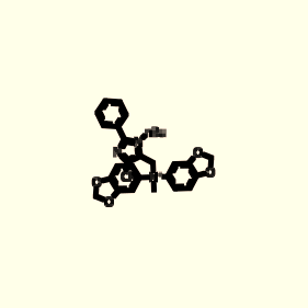 CCCCn1c(-c2ccccc2)nc(C#N)c1C[N+](C)(c1ccc2c(c1)OCO2)c1ccc2c(c1)OCO2